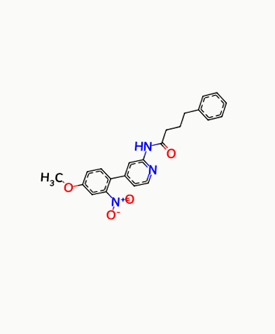 COc1ccc(-c2ccnc(NC(=O)CCCc3ccccc3)c2)c([N+](=O)[O-])c1